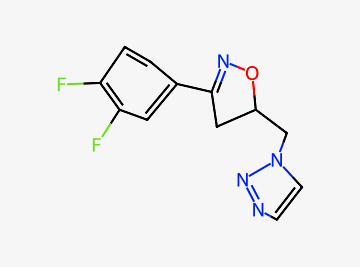 Fc1ccc(C2=NOC(Cn3ccnn3)C2)cc1F